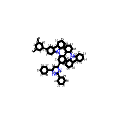 Cc1cc(C)cc(-c2ccc3c(c2)c2ccccc2n3-c2cc(-c3cc(-c4ccccc4)nc(-c4ccccc4)n3)ccc2-c2ccccc2-n2c3ccccc3c3ccccc32)c1